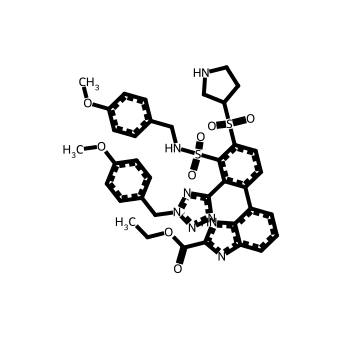 CCOC(=O)c1nc2cccc(-c3ccc(S(=O)(=O)C4CCNC4)c(S(=O)(=O)NCc4ccc(OC)cc4)c3-c3nnn(Cc4ccc(OC)cc4)n3)c2[nH]1